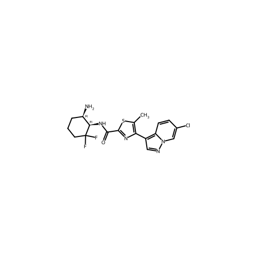 Cc1sc(C(=O)N[C@@H]2[C@H](N)CCCC2(F)F)nc1-c1cnn2cc(Cl)ccc12